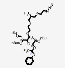 CCCCOC[C@@H](OCCCC)C(COCCSCC(C)CSCCN=[N+]=[N-])O[C@@H](O/C(=N/c1ccccc1)C(F)(F)F)[C@H](C)OCCCC